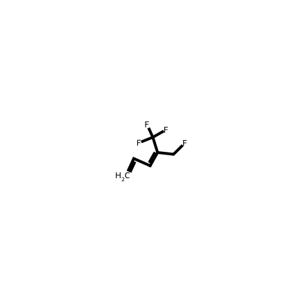 C=CC=C(CF)C(F)(F)F